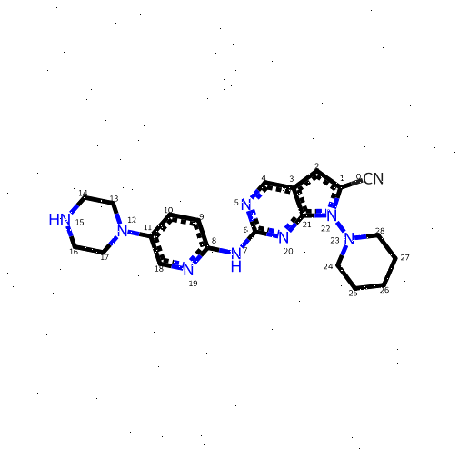 N#Cc1cc2cnc(Nc3ccc(N4CCNCC4)cn3)nc2n1N1CCCCC1